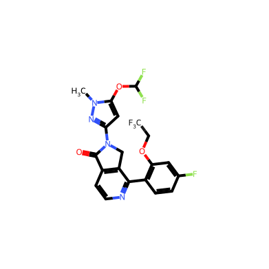 Cn1nc(N2Cc3c(ccnc3-c3ccc(F)cc3OCC(F)(F)F)C2=O)cc1OC(F)F